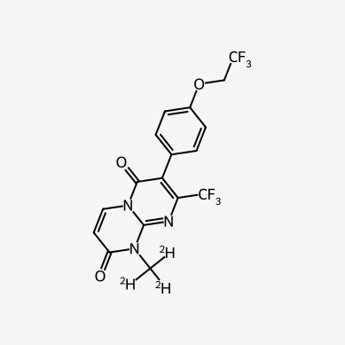 [2H]C([2H])([2H])n1c(=O)ccn2c(=O)c(-c3ccc(OCC(F)(F)F)cc3)c(C(F)(F)F)nc12